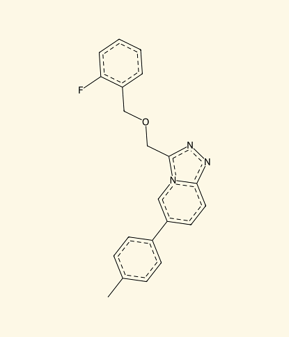 Cc1ccc(-c2ccc3nnc(COCc4ccccc4F)n3c2)cc1